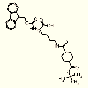 CC(C)(C)OC(=O)C1CCN(C(=O)NCCCC[C@@H](NC(=O)OCC2c3ccccc3-c3ccccc32)C(=O)O)CC1